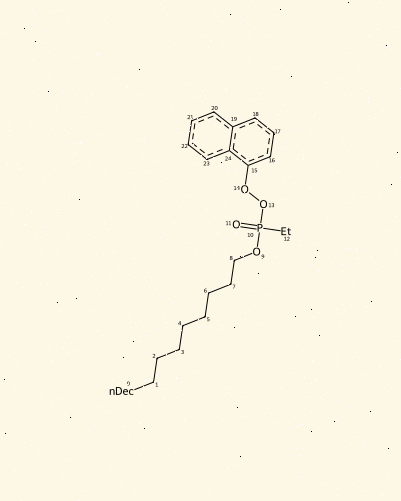 CCCCCCCCCCCCCCCCCCOP(=O)(CC)OOc1cccc2ccccc12